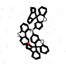 c1ccc2c(c1)Oc1cc(N(c3ccc4c(c3)C3(c5ccccc5O4)c4ccccc4-c4ccccc43)c3cccc4sc5ccccc5c34)ccc1C21c2ccccc2-c2ccccc21